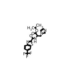 CC(C)OC(=O)C(Cn1ccnc1)NC(=O)c1nc2ccc(C(F)(F)F)cc2s1